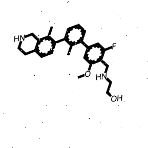 COc1cc(-c2cccc(-c3ccc4c(c3C)CNCC4)c2C)cc(F)c1CNCCO